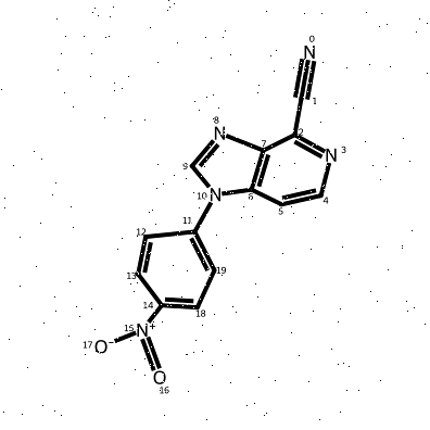 N#Cc1nccc2c1ncn2-c1ccc([N+](=O)[O-])cc1